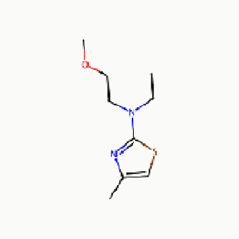 CCN(CCOC)c1nc(C)cs1